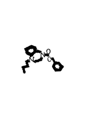 CCCCN1CCN(C(=O)OCc2ccccc2)Cc2ccccc21